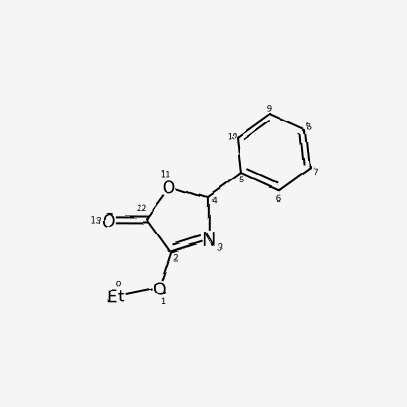 CCOC1=NC(c2ccccc2)OC1=O